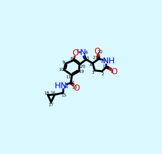 O=C1CCC(c2noc3ccc(C(=O)NCC4CC4)cc23)C(=O)N1